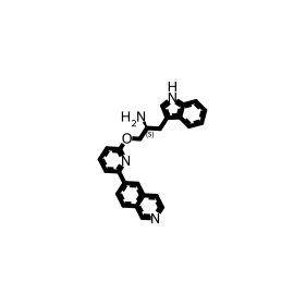 N[C@H](COc1cccc(-c2ccc3cnccc3c2)n1)Cc1c[nH]c2ccccc12